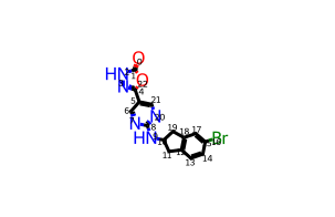 O=c1[nH]nc(-c2cnc(NC3Cc4ccc(Br)cc4C3)nc2)o1